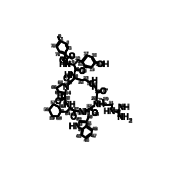 Cc1ccc(S(=O)(=O)N[C@@H](Cc2ccc(O)cc2)C(=O)N[C@H]2CCCNC(=O)[C@H](CCCNC(=N)N)NC(=O)[C@H](Cc3c[nH]c4ccccc34)NC(=O)[C@@H](CC3CCCCC3)NC(=O)[C@@H]3CCCN3C2=O)cc1